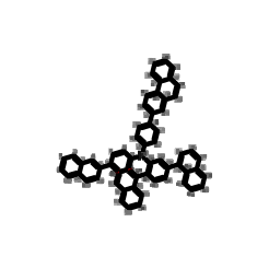 c1ccc2cc(-c3ccc(N(c4ccc(-c5ccc6c(ccc7ccccc76)c5)cc4)c4cc(-c5cccc6ccccc56)ccc4-c4cccc5ccccc45)cc3)ccc2c1